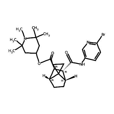 CN1C(C)(C)CC(OC(=O)[C@H]2[C@H](C(=O)Nc3ccc(Br)nc3)[C@@H]3CC[C@H]2C32CC2)CC1(C)C